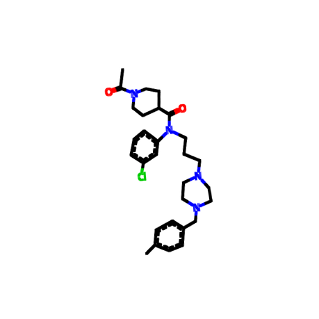 CC(=O)N1CCC(C(=O)N(CCCN2CCN(Cc3ccc(C)cc3)CC2)c2cccc(Cl)c2)CC1